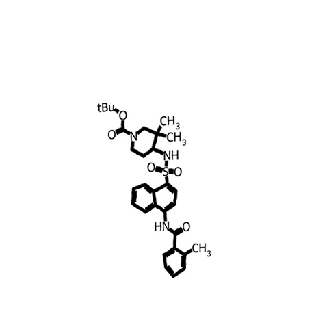 Cc1ccccc1C(=O)Nc1ccc(S(=O)(=O)NC2CCN(C(=O)OC(C)(C)C)CC2(C)C)c2ccccc12